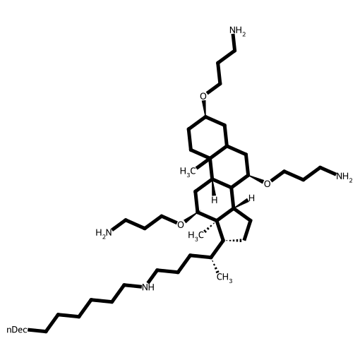 CCCCCCCCCCCCCCCCNCCC[C@@H](C)[C@H]1CC[C@H]2C3[C@H](OCCCN)CC4C[C@H](OCCCN)CCC4(C)[C@H]3C[C@H](OCCCN)[C@]12C